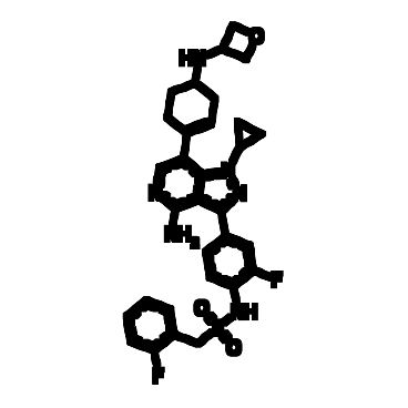 Nc1ncc(C2=CCC(NC3COC3)CC2)c2c1c(-c1ccc(NS(=O)(=O)Cc3ccccc3F)c(F)c1)nn2C1CC1